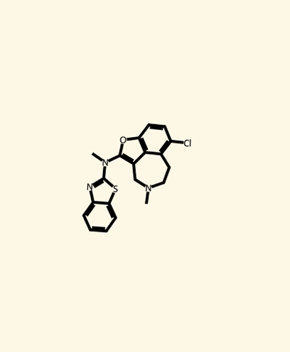 CN1CCc2c(Cl)ccc3oc(N(C)c4nc5ccccc5s4)c(c23)C1